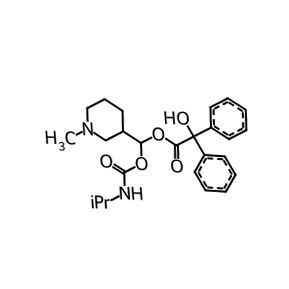 CC(C)NC(=O)OC(OC(=O)C(O)(c1ccccc1)c1ccccc1)C1CCCN(C)C1